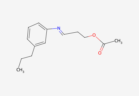 CCCc1cccc(N=CCCOC(C)=O)c1